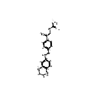 CC(=O)SCC(=O)c1ccc(CSc2ccc3c(c2)OCCO3)cc1